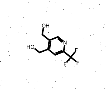 OCc1cnc(C(F)(F)F)cc1CO